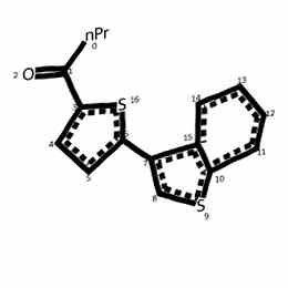 CCCC(=O)c1ccc(-c2csc3ccccc23)s1